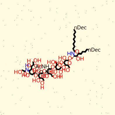 CCCCCCCCCCCCC/C=C/[C@@H](O)[C@H](CO[C@@H]1OC(CO)[C@@H](O[C@@H]2OC(CO)[C@H](O[C@@H]3OC(CO)[C@H](O)[C@H](O[C@@H]4OC(CO)[C@H](O)[C@H](O[C@]5(C(=O)O)CC(O)[C@@H](NC(=O)CO)C([C@H](O)[C@H](O)CO)O5)C4O)C3NC(C)=O)[C@H](O)C2O)[C@H](O)C1O)NC(=O)CCCCCCCCCCCCCCCCCCC